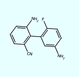 N#Cc1cccc(N)c1-c1cc(N)ccc1F